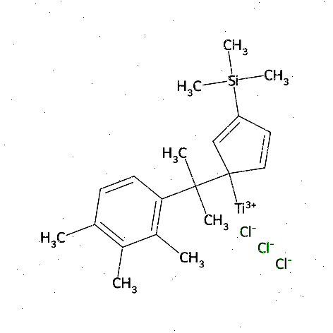 Cc1ccc(C(C)(C)[C]2([Ti+3])C=CC([Si](C)(C)C)=C2)c(C)c1C.[Cl-].[Cl-].[Cl-]